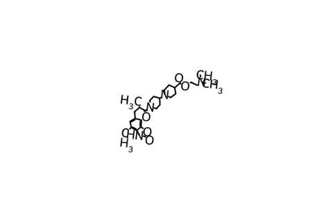 Cc1cc(C[C@@H](C)C(=O)N2CCC(N3CCC(C(=O)OCCN(C)C)CC3)CC2)cc2oc(=O)[nH]c12